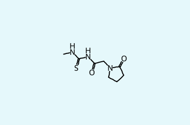 CNC(=S)NC(=O)CN1CCCC1=O